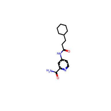 NC(=O)c1cc(NC(=O)CCC2CCCCC2)ccn1